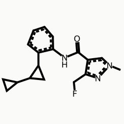 Cn1cc(C(=O)Nc2ccccc2C2CC2C2CC2)c(CF)n1